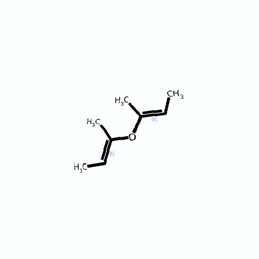 C/C=C(\C)O/C(C)=C/C